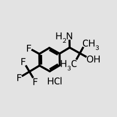 CC(C)(O)C(N)c1ccc(C(F)(F)F)c(F)c1.Cl